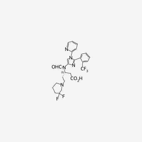 O=CN(c1cn(-c2ccccn2)c(-c2ccccc2C(F)(F)F)n1)[C@@H](CCN1CCCC(F)(F)C1)CC(=O)O